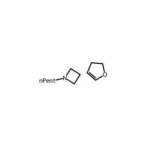 C1=COCC1.CCCCCN1CCC1